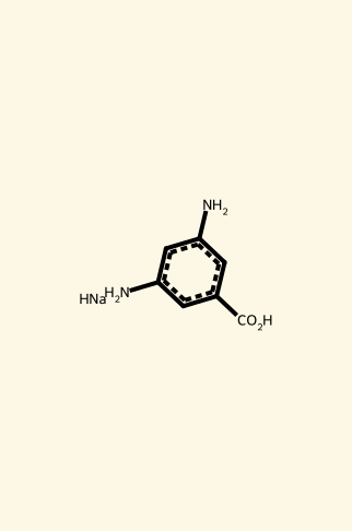 Nc1cc(N)cc(C(=O)O)c1.[NaH]